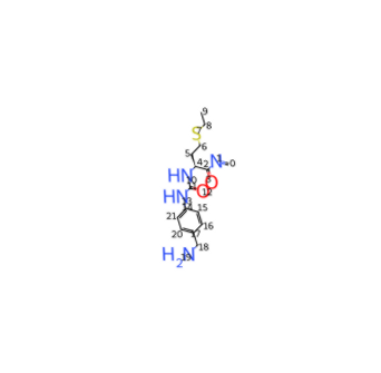 C=NC(=O)[C@H](CCSCC)NC(=O)Nc1ccc(CN)cc1